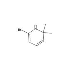 CC1(C)C=CC=C(Br)N1